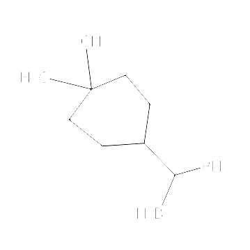 BC(B)C1CCC(C)(C)CC1